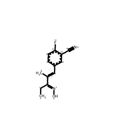 CCC(=NO)/C(C)=C/c1ccc(F)c(C#N)c1